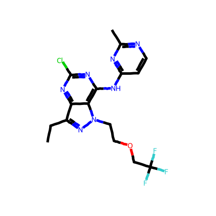 CCc1nn(CCOCC(F)(F)F)c2c(Nc3ccnc(C)n3)nc(Cl)nc12